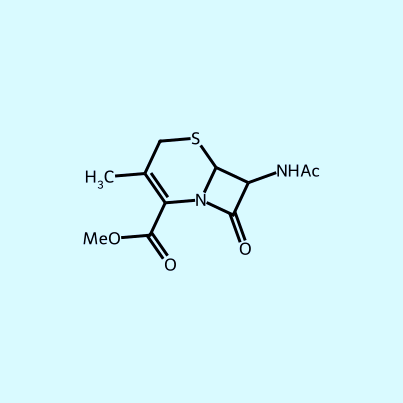 COC(=O)C1=C(C)CSC2C(NC(C)=O)C(=O)N12